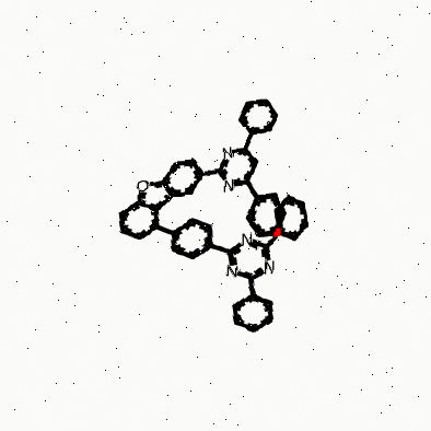 c1ccc(-c2cc(-c3ccccc3)nc(-c3ccc4oc5cccc(-c6ccc(-c7nc(-c8ccccc8)nc(-c8ccccc8)n7)cc6)c5c4c3)n2)cc1